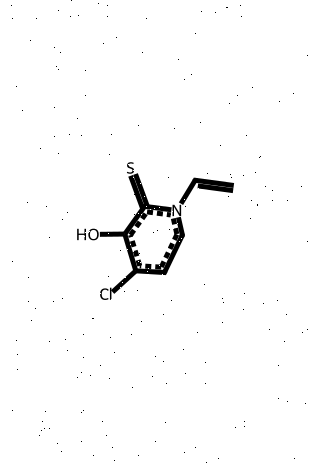 C=Cn1ccc(Cl)c(O)c1=S